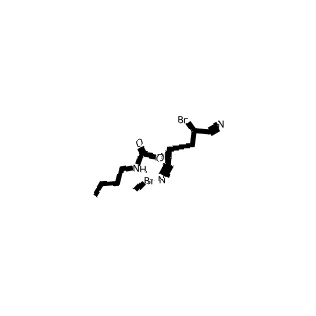 CBr.CCCCNC(=O)O.N#CCCC(Br)C#N